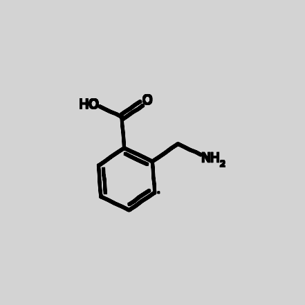 NCc1[c]cccc1C(=O)O